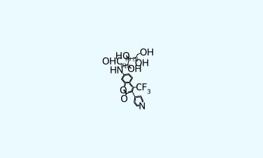 O=C[C@@H](Nc1ccc2c(C(F)(F)F)c(-c3ccncc3)c(=O)oc2c1)[C@H](O)[C@@H](O)[C@@H](O)CO